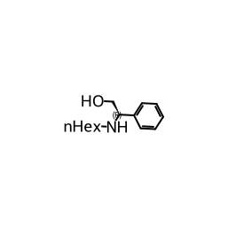 CCCCCCN[C@@H](CO)c1ccccc1